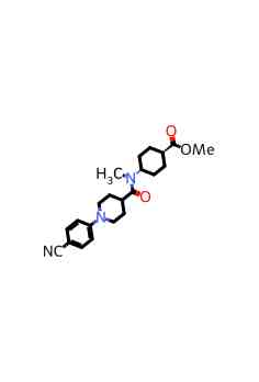 COC(=O)[C@H]1CC[C@H](N(C)C(=O)C2CCN(c3ccc(C#N)cc3)CC2)CC1